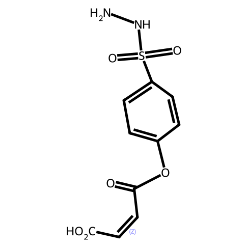 NNS(=O)(=O)c1ccc(OC(=O)/C=C\C(=O)O)cc1